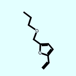 C=Cc1ccc(COCCC)o1